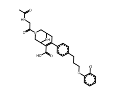 CC(=O)NCC(=O)N1CC2CC(c3ccc(CCCOc4ccccc4Cl)cc3)=C(C(=O)O)C(C1)N2